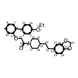 CCOc1ccc(-c2ccccc2OCC(=O)N2CCC(CCc3ccc4c(c3)OCO4)CC2)cc1